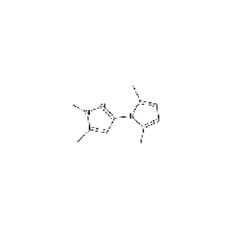 Cc1cc(-n2c(C)ccc2C)nn1C